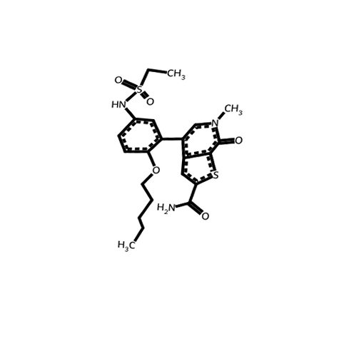 CCCCCOc1ccc(NS(=O)(=O)CC)cc1-c1cn(C)c(=O)c2sc(C(N)=O)cc12